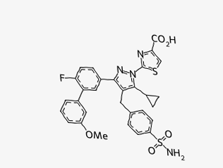 COc1cccc(-c2cc(-c3nn(-c4nc(C(=O)O)cs4)c(C4CC4)c3Cc3ccc(S(N)(=O)=O)cc3)ccc2F)c1